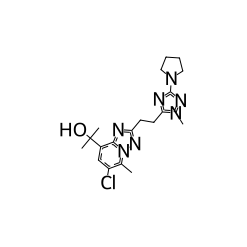 Cc1c(Cl)cc(C(C)(C)O)c2nc(CCc3nc(N4CCCC4)nn3C)nn12